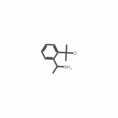 CC([SiH3])c1ccccc1C(C)(C)Cl